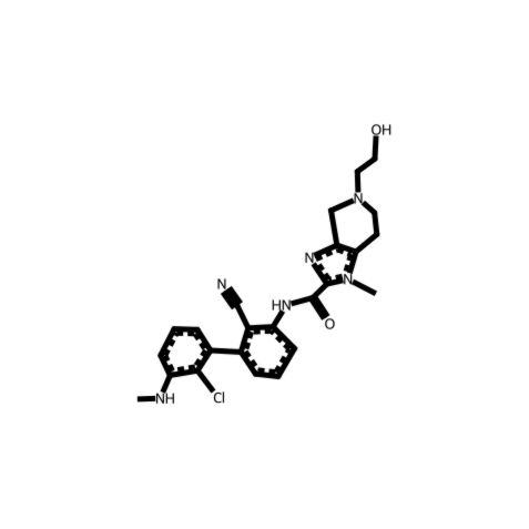 CNc1cccc(-c2cccc(NC(=O)c3nc4c(n3C)CCN(CCO)C4)c2C#N)c1Cl